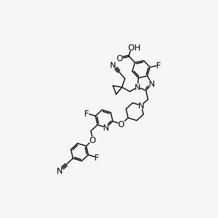 N#CCC1(Cn2c(CN3CCC(Oc4ccc(F)c(COc5ccc(C#N)cc5F)n4)CC3)nc3c(F)cc(C(=O)O)cc32)CC1